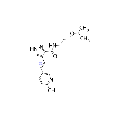 Cc1ccc(/C=C/c2c[nH]nc2C(=O)NCCCOC(C)C)cn1